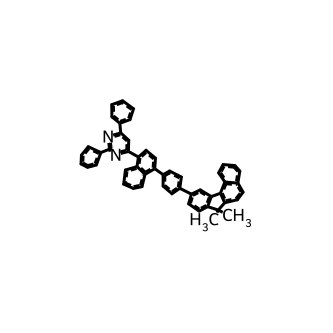 CC1(C)c2ccc(-c3ccc(-c4ccc(-c5cc(-c6ccccc6)nc(-c6ccccc6)n5)c5ccccc45)cc3)cc2-c2c1ccc1ccccc21